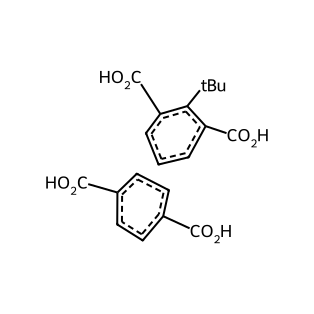 CC(C)(C)c1c(C(=O)O)cccc1C(=O)O.O=C(O)c1ccc(C(=O)O)cc1